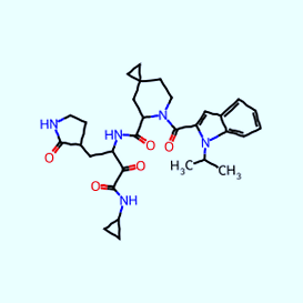 CC(C)n1c(C(=O)N2CCC3(CC3)CC2C(=O)NC(CC2CCNC2=O)C(=O)C(=O)NC2CC2)cc2ccccc21